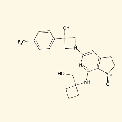 [O-][S@+]1CCc2nc(N3CC(O)(c4ccc(C(F)(F)F)cc4)C3)nc(NC3(CO)CCC3)c21